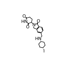 O=C1CCC(N2Cc3cc(CN[C@H]4CC[C@@H](I)CC4)ccc3C2=O)C(=O)N1